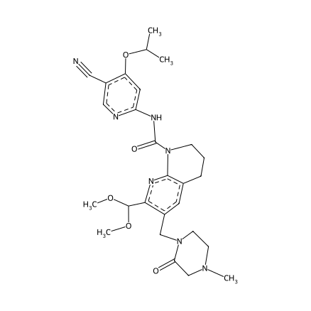 COC(OC)c1nc2c(cc1CN1CCN(C)CC1=O)CCCN2C(=O)Nc1cc(OC(C)C)c(C#N)cn1